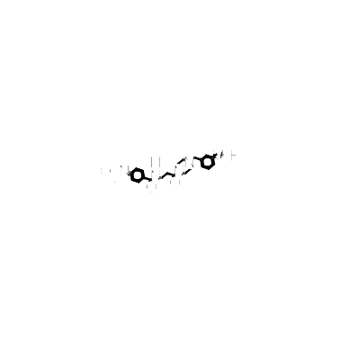 O=C(NCCC(=O)N1CCN(Cc2cccc(OC(F)(F)F)c2)CC1)c1ccc([N+](=O)[O-])cc1